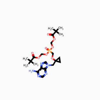 CC(C)(C)C(=O)OCOP(=O)(COC1(Cn2cnc3c(N)ncnc32)CC1)OCOC(=O)C(C)(C)C